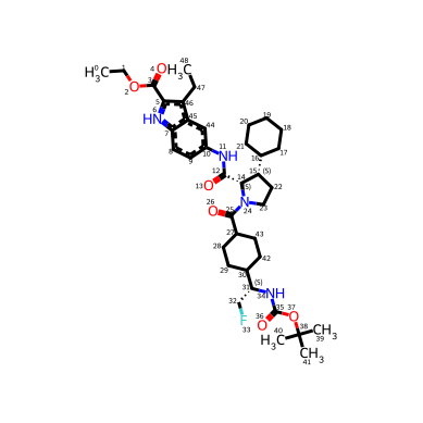 CCOC(=O)c1[nH]c2ccc(NC(=O)[C@@H]3[C@H](C4CCCCC4)CCN3C(=O)C3CCC([C@@H](CF)NC(=O)OC(C)(C)C)CC3)cc2c1CC